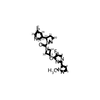 Cn1nccc1-c1ncc(F)c(OC2CN(C(=O)N3N=CCC3c3cncc(F)c3)C2)n1